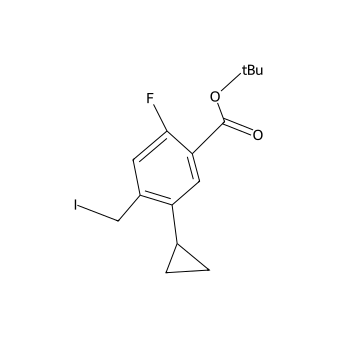 CC(C)(C)OC(=O)c1cc(C2CC2)c(CI)cc1F